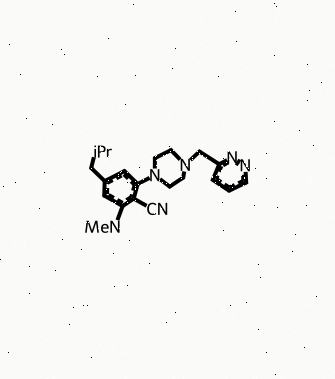 CNc1cc(CC(C)C)cc(N2CCN(Cc3cccnn3)CC2)c1C#N